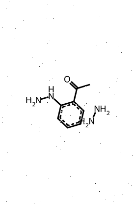 CC(=O)c1ccccc1NN.NN